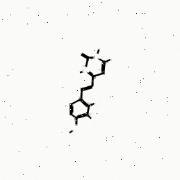 COc1ccc(C=Cc2cc(C)n(C)c(=O)[n+]2C)c(O)c1O.[Cl-]